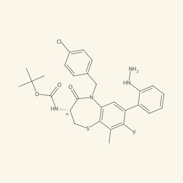 Cc1c(F)c(-c2ccccc2NN)cc2c1SC[C@H](NC(=O)OC(C)(C)C)C(=O)N2Cc1ccc(Cl)cc1